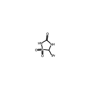 CC(C)C1NC(=O)NS1(=O)=O